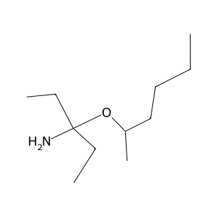 CCCCC(C)OC(N)(CC)CC